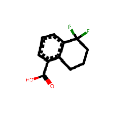 O=C(O)c1cccc2c1CCCC2(F)F